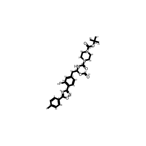 Cc1ccc(-c2nc(-c3ccc(CC(NC(=O)N4CCN(C(=O)OC(C)(C)C)CC4)OC=O)cc3F)no2)cc1